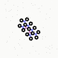 c1ccc(N(c2ccccc2)c2cc3c4c(c2)n(-c2ccccc2)c2cc5c(cc2p4c2ccccc2n3-c2ccccc2)p2c3ccccc3n(-c3ccccc3)c3cc(N(c4ccccc4)c4ccccc4)cc(c32)n5-c2ccccc2)cc1